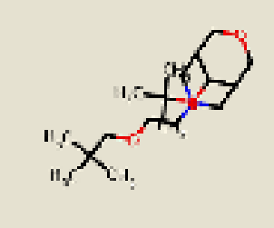 CC(C)(C)COCCN1CC2COCC(C1)C2OC(C)(C)C